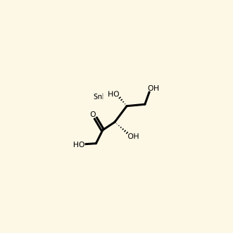 O=C(CO)[C@@H](O)[C@H](O)CO.[Sn]